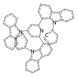 c1ccc(-n2c3ccccc3c3cccc(-c4cc(-n5c6ccccc6c6ccccc65)cc(-c5cccc6c7ccccc7n(-c7ccccc7)c56)n4)c32)cc1